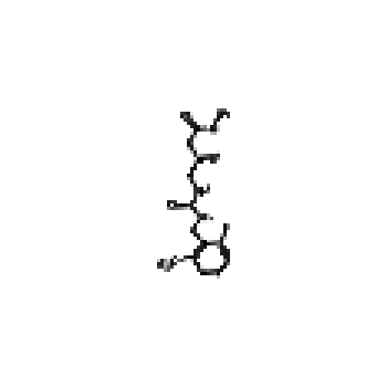 CC(C)OC(=O)CC(=O)CNC(=O)NCc1c(F)cccc1C(F)(F)F